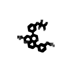 O[C@@H](CN1c2cccc(-c3cccc(OC(F)(F)F)c3)c2SC[C@@H]1C1C=C(OC(F)(F)C(F)F)C=CC1)C(F)(F)F